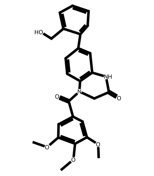 COc1cc(C(=O)N2CC(=O)Nc3cc(-c4ccccc4CO)ccc32)cc(OC)c1OC